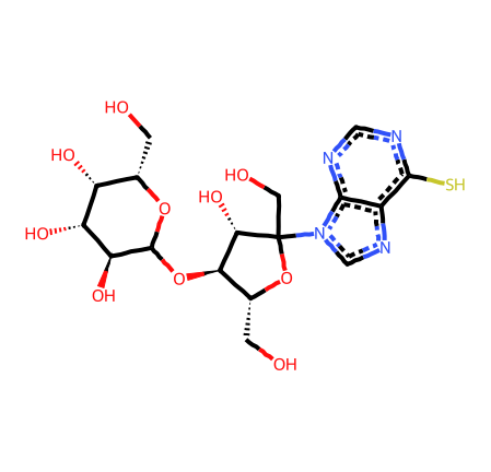 OC[C@@H]1OC(O[C@@H]2[C@@H](CO)OC(CO)(n3cnc4c(S)ncnc43)[C@H]2O)[C@@H](O)[C@H](O)[C@@H]1O